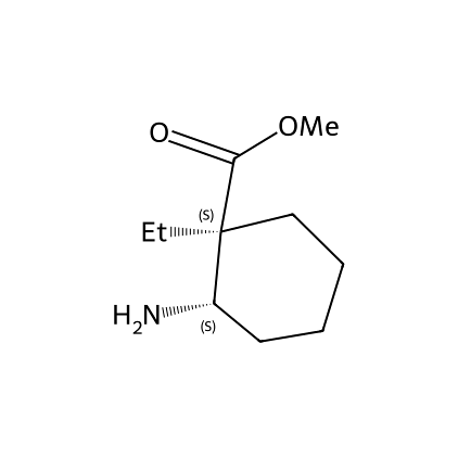 CC[C@]1(C(=O)OC)CCCC[C@@H]1N